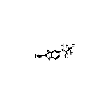 N#Cc1nc2ccc(NC(=O)C(F)(F)F)cc2s1